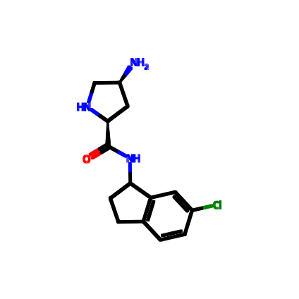 N[C@@H]1CN[C@H](C(=O)NC2CCc3ccc(Cl)cc32)C1